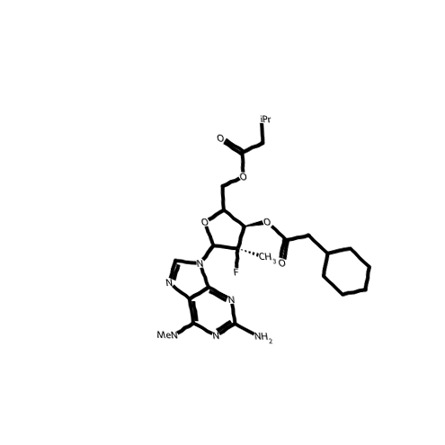 CNc1nc(N)nc2c1ncn2C1OC(COC(=O)CC(C)C)[C@@H](OC(=O)CC2CCCCC2)[C@@]1(C)F